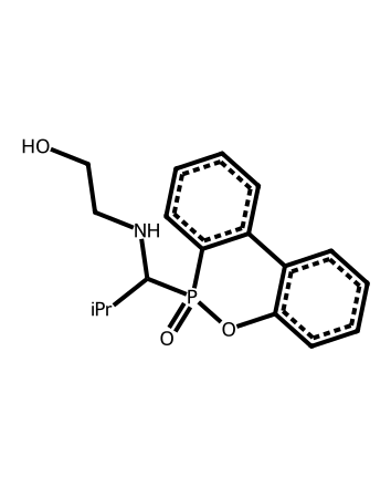 CC(C)C(NCCO)P1(=O)Oc2ccccc2-c2ccccc21